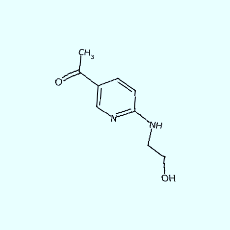 CC(=O)c1ccc(NCCO)nc1